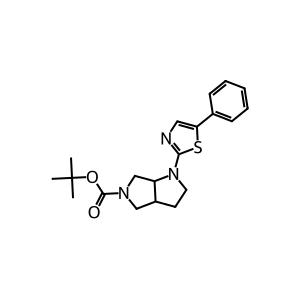 CC(C)(C)OC(=O)N1CC2CCN(c3ncc(-c4ccccc4)s3)C2C1